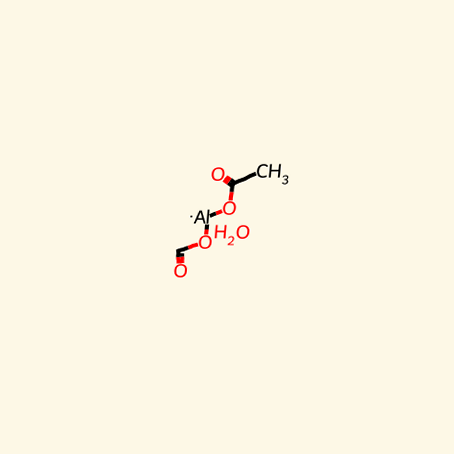 CC(=O)[O][Al][O]C=O.O